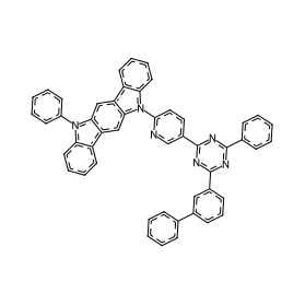 c1ccc(-c2cccc(-c3nc(-c4ccccc4)nc(-c4ccc(-n5c6ccccc6c6cc7c(cc65)c5ccccc5n7-c5ccccc5)nc4)n3)c2)cc1